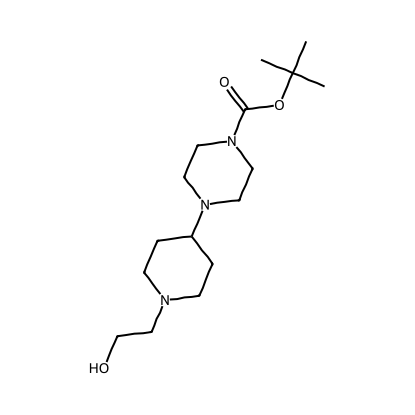 CC(C)(C)OC(=O)N1CCN(C2CCN(CCO)CC2)CC1